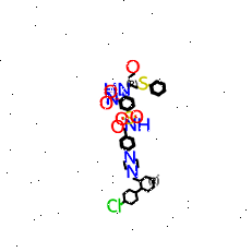 C[C@@H]1CCC(C2CCC(Cl)CC2)C(CN2CCN(c3ccc(C(=O)NS(=O)(=O)c4ccc(N[C@H](CC=O)CSc5ccccc5)c([N+](=O)[O-])c4)cc3)CC2)C1